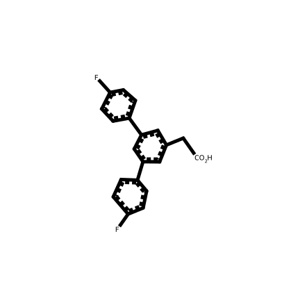 O=C(O)Cc1cc(-c2ccc(F)cc2)cc(-c2ccc(F)cc2)c1